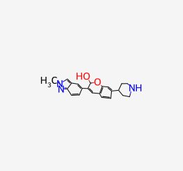 Cn1cc2cc(C3=Cc4ccc(C5CCNCC5)cc4OC3O)ccc2n1